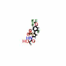 CC(O)C(=O)NC1=CC=C(c2ccc(OC(F)(F)F)cc2F)S1=S(=O)=O